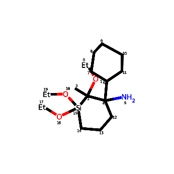 CCOC1(C)C(N)(C2CCCCC2)CCC[Si]1(OCC)OCC